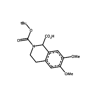 COc1cc2c(cc1OC)C(C(=O)O)N(C(=O)OC(C)(C)C)CC2